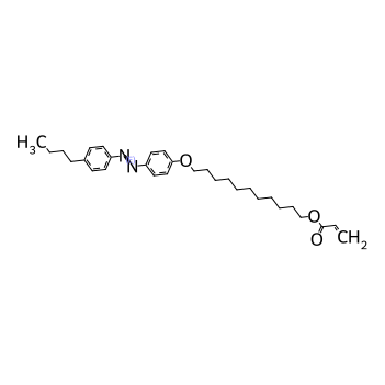 C=CC(=O)OCCCCCCCCCCCOc1ccc(/N=N/c2ccc(CCCC)cc2)cc1